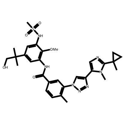 COc1c(NC(=O)c2ccc(C)c(-n3cc(-c4cnc(C5(C)CC5)n4C)nn3)c2)cc(C(C)(C)CO)cc1NS(C)(=O)=O